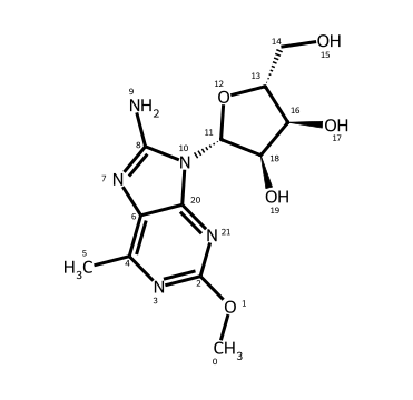 COc1nc(C)c2nc(N)n([C@@H]3O[C@H](CO)[C@@H](O)[C@H]3O)c2n1